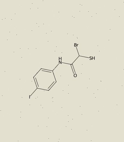 O=C(Nc1ccc(I)cc1)C(S)Br